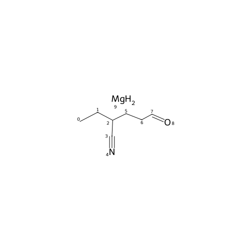 CCC(C#N)CCC=O.[MgH2]